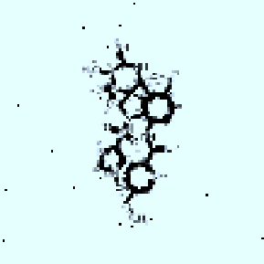 COc1ccc(C(=O)Nc2ccc(F)c([C@]3(C)NC(=N)N(C)S(=O)(=O)[C@]34CCN(S(=O)(=O)c3cn(C)cn3)C4)c2)nc1